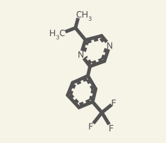 CC(C)c1cncc(-c2cccc(C(F)(F)F)c2)n1